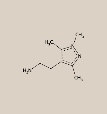 Cc1nn(C)c(C)c1CCN